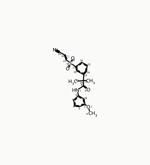 COc1cccc(NC(=O)C(C)(C)c2cccc(S(=O)(=O)/C=C/C#N)c2)c1